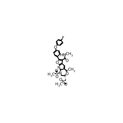 CNC(=O)c1c(-c2ccc(Oc3ccc(F)cc3)cc2)oc2nc3c(cc12)[C@H](C)O[C@H](CS(C)(=O)=O)CN3S(C)(=O)=O